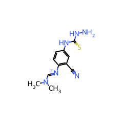 CN(C)/C=N/c1ccc(NC(=S)NN)cc1C#N